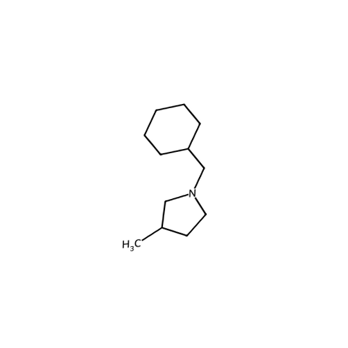 CC1CCN(CC2CCCCC2)C1